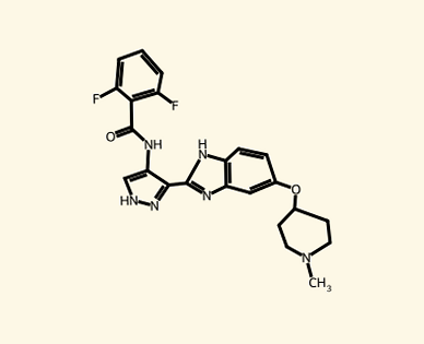 CN1CCC(Oc2ccc3[nH]c(-c4n[nH]cc4NC(=O)c4c(F)cccc4F)nc3c2)CC1